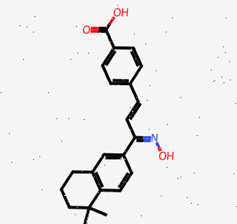 CC1(C)CCCc2cc(C(/C=C/c3ccc(C(=O)O)cc3)=N\O)ccc21